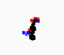 NC(=O)C(=Cc1ccc(C=CC(=O)NO)cc1)c1ccccc1